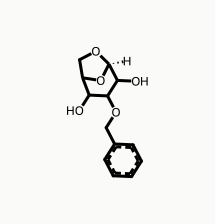 OC1C2CO[C@H](O2)C(O)C1OCc1ccccc1